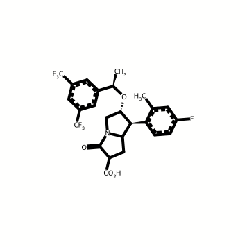 Cc1cc(F)ccc1[C@H]1C2CC(C(=O)O)C(=O)N2C[C@@H]1O[C@H](C)c1cc(C(F)(F)F)cc(C(F)(F)F)c1